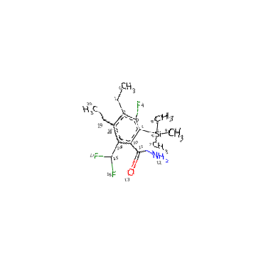 CCc1c(F)c([Si](C)(C)C)c(C(N)=O)c(C(F)F)c1CC